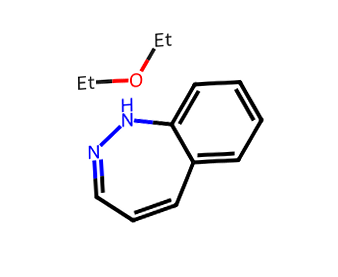 C1=Cc2ccccc2NN=C1.CCOCC